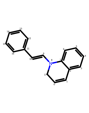 C1=Cc2ccccc2N(/C=C/c2ccccc2)C1